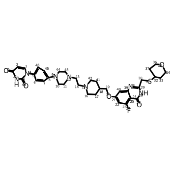 O=c1ccn(-c2ccc(N3CCN(CCN4CCC(COc5cc(F)c6c(=O)[nH]c(CSC7CCOCC7)nc6c5)CC4)CC3)cc2)c(=O)[nH]1